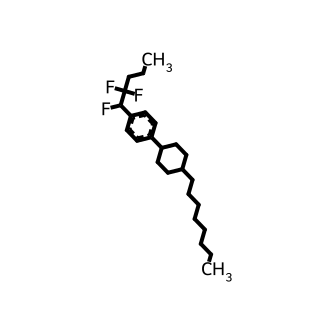 CCCCCCCCC1CCC(c2ccc(C(F)C(F)(F)CCC)cc2)CC1